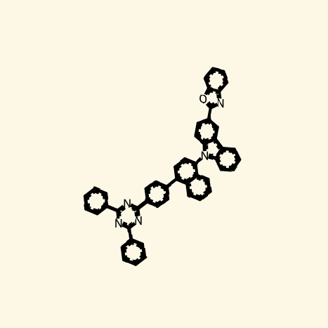 c1ccc(-c2nc(-c3ccccc3)nc(-c3ccc(-c4ccc(-n5c6ccccc6c6cc(-c7nc8ccccc8o7)ccc65)c5ccccc45)cc3)n2)cc1